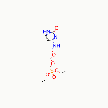 CCOP(=O)(COCOCNc1cc[nH]c(=O)n1)OCC